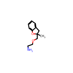 CC1(COCCN)Cc2ccccc2O1